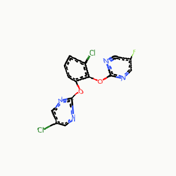 Fc1cnc(Oc2c(Cl)cccc2Oc2ncc(Cl)cn2)nc1